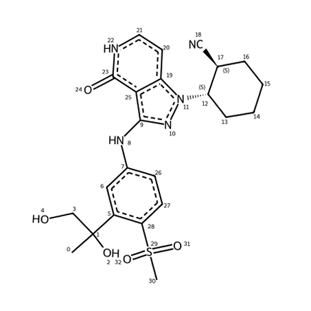 CC(O)(CO)c1cc(Nc2nn([C@H]3CCCC[C@@H]3C#N)c3cc[nH]c(=O)c23)ccc1S(C)(=O)=O